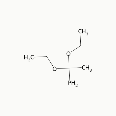 CCOC(C)(P)OCC